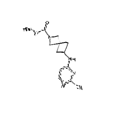 CC(C)(C)OC(=O)N1CC2(CC(Nc3ccnc(C#N)n3)C2)C1